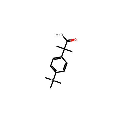 COC(=O)C(C)(C)c1cc[c]([Sn]([CH3])([CH3])[CH3])cc1